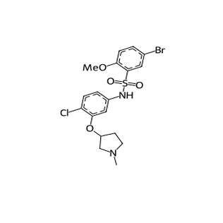 COc1ccc(Br)cc1S(=O)(=O)Nc1ccc(Cl)c(OC2CCN(C)C2)c1